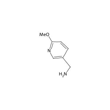 COc1ccc(CN)cn1